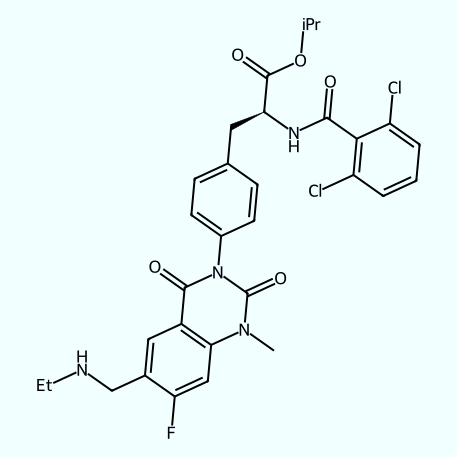 CCNCc1cc2c(=O)n(-c3ccc(C[C@H](NC(=O)c4c(Cl)cccc4Cl)C(=O)OC(C)C)cc3)c(=O)n(C)c2cc1F